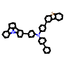 c1ccc(-c2ccc(N(c3ccc(-c4ccc5sc6ccccc6c5c4)cc3)c3ccc(-c4ccc5c(c4)c4cccc6c7ccccc7n5c64)cc3)cc2)cc1